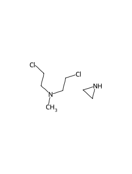 C1CN1.CN(CCCl)CCCl